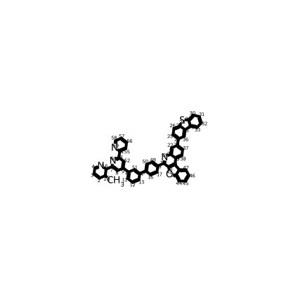 CC1C=CC=NC1c1cc(-c2cccc(-c3ccc(-c4nc5cc(-c6ccc7sc8ccccc8c7c6)ccc5c5c4oc4ccccc45)cc3)c2)cc(-c2ccccn2)n1